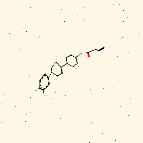 C=CCC(=O)OC1CCC(C2CCC(c3ccc(Cl)c(F)c3)CC2)CC1